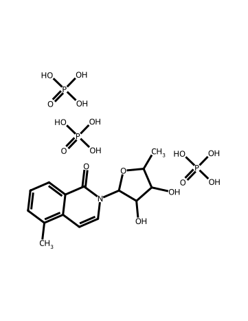 Cc1cccc2c(=O)n(C3OC(C)C(O)C3O)ccc12.O=P(O)(O)O.O=P(O)(O)O.O=P(O)(O)O